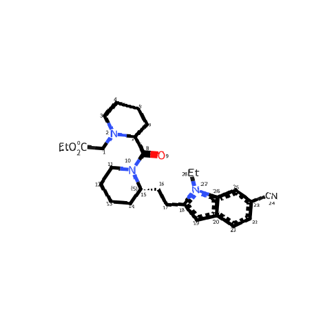 CCOC(=O)CN1CCCCC1C(=O)N1CCCC[C@H]1CCc1cc2ccc(C#N)cc2n1CC